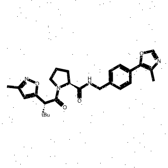 Cc1cc([C@H](C(=O)N2CCC[C@H]2C(=O)NCc2ccc(-c3ocnc3C)cc2)C(C)(C)C)on1